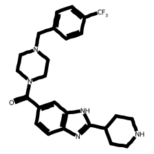 O=C(c1ccc2nc(C3CCNCC3)[nH]c2c1)N1CCN(Cc2ccc(C(F)(F)F)cc2)CC1